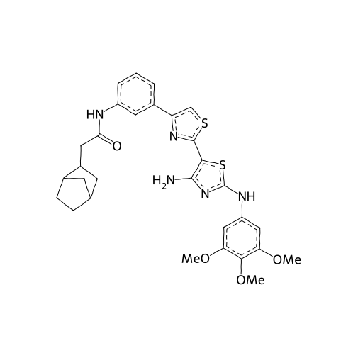 COc1cc(Nc2nc(N)c(-c3nc(-c4cccc(NC(=O)CC5CC6CCC5C6)c4)cs3)s2)cc(OC)c1OC